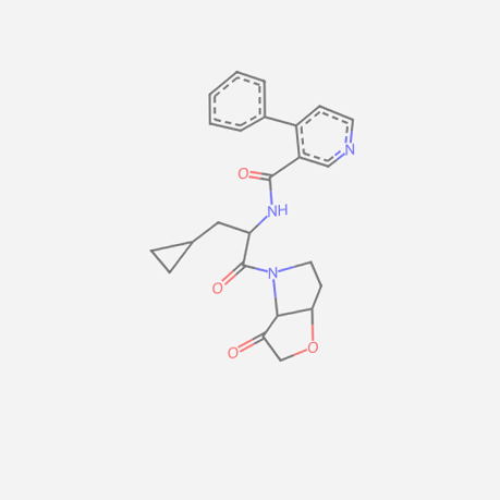 O=C(NC(CC1CC1)C(=O)N1CCC2OCC(=O)C21)c1cnccc1-c1ccccc1